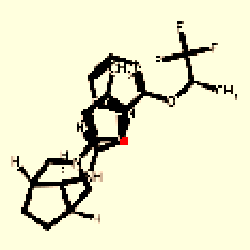 Cc1cc(N2C[C@H]3CC[C@@H](C2)[C@@H]3Nc2nc3c(O[C@H](C)C(F)(F)F)nccn3n2)sn1